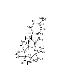 FC1(F)C(F)(F)C(F)(F)C(F)(c2cc3cc(Br)ccc3[nH]2)C(F)(F)C1(F)F